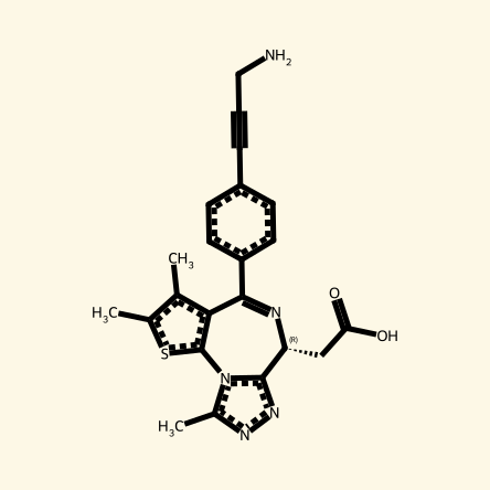 Cc1sc2c(c1C)C(c1ccc(C#CCN)cc1)=N[C@H](CC(=O)O)c1nnc(C)n1-2